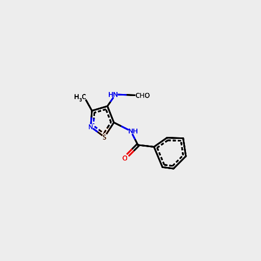 Cc1nsc(NC(=O)c2ccccc2)c1NC=O